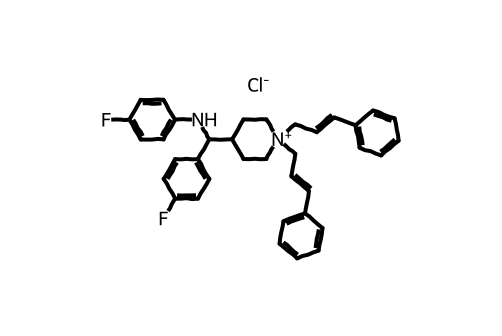 Fc1ccc(NC(c2ccc(F)cc2)C2CC[N+](CC=Cc3ccccc3)(CC=Cc3ccccc3)CC2)cc1.[Cl-]